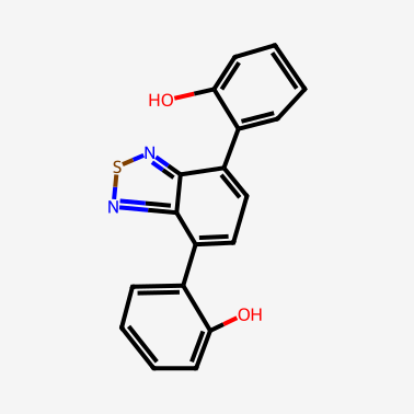 Oc1ccccc1-c1ccc(-c2ccccc2O)c2nsnc12